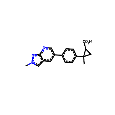 Cn1cc2cc(-c3ccc(C4(C)CC4C(=O)O)cc3)cnc2n1